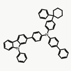 c1ccc(-c2ccc(N(c3ccc(-c4ccc5c6ccccc6n(-c6ccccc6)c5c4)cc3)c3ccc(C4(c5ccccc5)CCCCC4)cc3)cc2)cc1